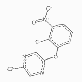 O=[N+]([O-])c1cccc(Oc2cnc(Cl)cn2)c1Cl